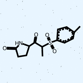 Cc1ccc(S(=O)(=O)C(C)C(=O)C2CCC(=O)N2)cc1